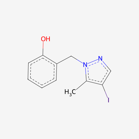 Cc1c(I)cnn1Cc1ccccc1O